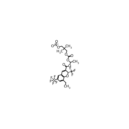 CCc1cc(S(F)(F)(F)(F)F)cc2c1O[C@H](C(F)(F)F)C(C(=O)OC(C)OC(=O)OCC(C)(C)CO[N+](=O)[O-])=C2